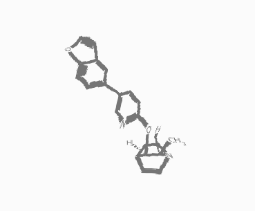 C[C@H]1[C@H](Oc2ccc(-c3ccc4occc4c3)cn2)C2CCN1CC2